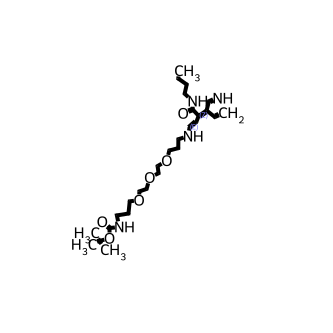 C=C/C(C=N)=C(\C=C\NCCCOCCOCCOCCCNC(=O)OC(C)(C)C)C(=O)NCCCC